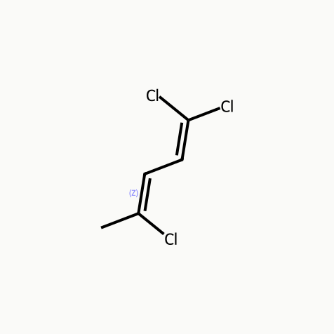 C/C(Cl)=C/C=C(Cl)Cl